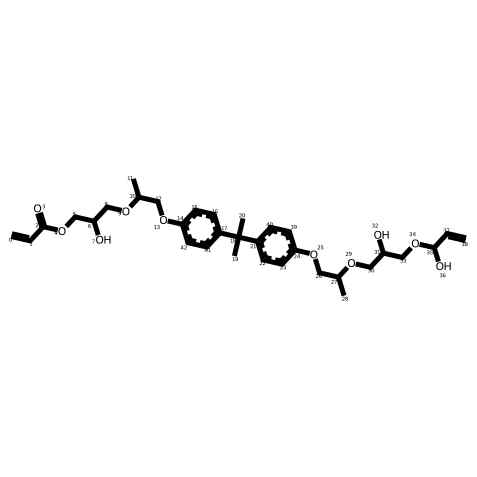 C=CC(=O)OCC(O)COC(C)COc1ccc(C(C)(C)c2ccc(OCC(C)OCC(O)COC(O)C=C)cc2)cc1